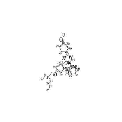 CCCCC(CC)COc1ccc(-c2ncnc(-c3ccc(OC)cc3)n2)c(O)c1.c1cnnnc1